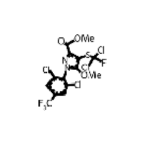 COC(=O)c1nn(-c2c(Cl)cc(C(F)(F)F)cc2Cl)c(OC)c1SC(F)(Cl)Cl